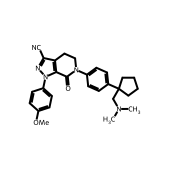 COc1ccc(-n2nc(C#N)c3c2C(=O)N(c2ccc(C4(CN(C)C)CCCC4)cc2)CC3)cc1